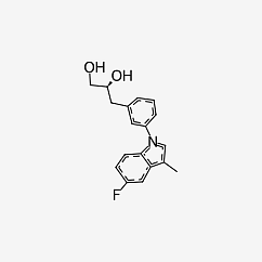 Cc1cn(-c2cccc(C[C@H](O)CO)c2)c2ccc(F)cc12